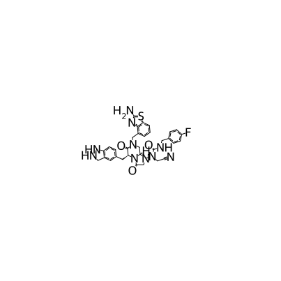 N#CCN(C(=O)NCc1ccc(F)cc1)N1CC(=O)N2[C@@H](Cc3ccc4c(c3)CNN4)C(=O)N(Cc3cccc4sc(N)nc34)C[C@@H]21